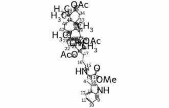 COC(=O)[C@H](Cc1c[nH]c2ccccc12)NCCCC(C)(OC(C)=O)C1CC[C@]2(C)[C@@H]1C(OC(C)=O)CC1[C@@]3(C)CC[C@H](OC(C)=O)C(C)(C)C3CC[C@]12C